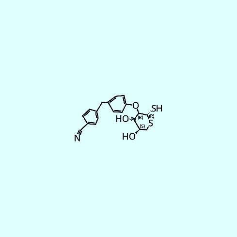 N#Cc1ccc(Cc2ccc(O[C@@H]3[C@@H](O)[C@H](O)CS[C@H]3S)cc2)cc1